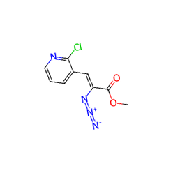 COC(=O)C(=Cc1cccnc1Cl)N=[N+]=[N-]